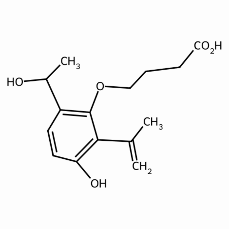 C=C(C)c1c(O)ccc(C(C)O)c1OCCCC(=O)O